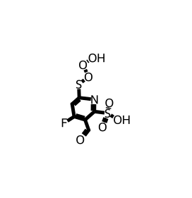 O=Cc1c(F)cc(SOOO)nc1S(=O)(=O)O